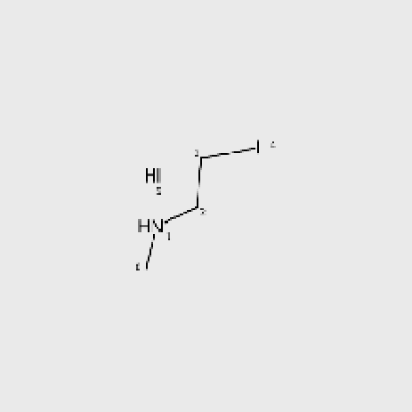 CNCCI.I